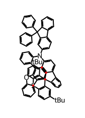 CC(C)(C)c1ccc2c(c1)C1(c3cc(C(C)(C)C)ccc3S2)c2ccccc2-c2ccc(N(c3ccc4c(c3)C(c3ccccc3)(c3ccccc3)c3ccccc3-4)c3ccccc3-c3cccc4c3oc3ccccc34)cc21